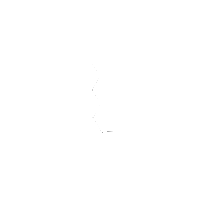 [CH2-][NH2+]C(C)CCCC